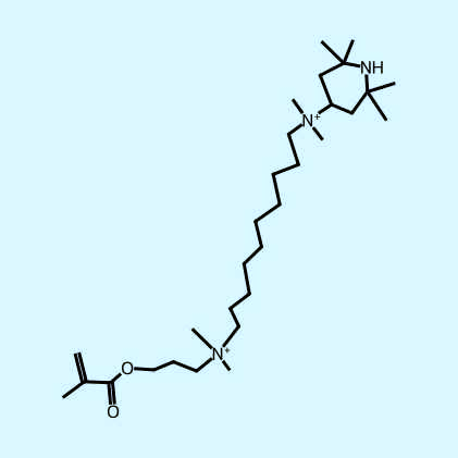 C=C(C)C(=O)OCCC[N+](C)(C)CCCCCCCCCC[N+](C)(C)C1CC(C)(C)NC(C)(C)C1